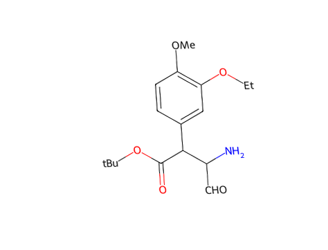 CCOc1cc(C(C(=O)OC(C)(C)C)C(N)C=O)ccc1OC